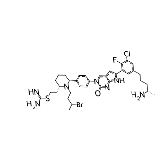 CC(Br)CCN1[C@H](CCSC(=N)N)CCC[C@H]1c1ccc(-n2cc3cc(-c4cc(CCC[C@H](C)N)cc(Cl)c4F)[nH]c3nc2=O)cc1